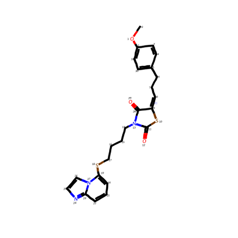 COc1ccc(CC/C=C2/SC(=O)N(CCCCSc3cccc4nccn34)C2=O)cc1